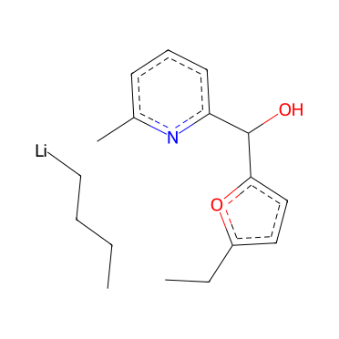 CCc1ccc(C(O)c2cccc(C)n2)o1.[Li][CH2]CCC